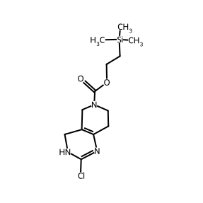 C[Si](C)(C)CCOC(=O)N1CCC2=C(CNC(Cl)=N2)C1